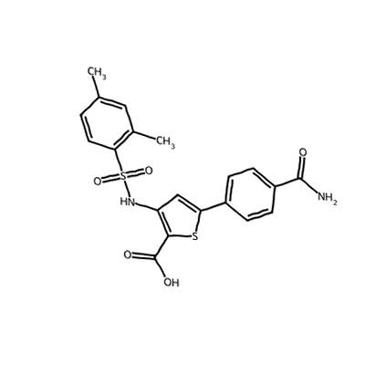 Cc1ccc(S(=O)(=O)Nc2cc(-c3ccc(C(N)=O)cc3)sc2C(=O)O)c(C)c1